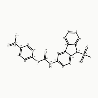 CS(=O)(=O)n1c2ccccc2c2cc(NC(=O)Oc3ccc([N+](=O)[O-])cc3)ccc21